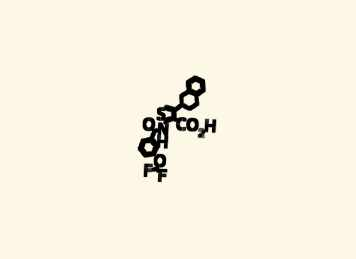 O=C(Nc1scc(C2CCc3ccccc3C2)c1C(=O)O)c1cccc(OC(F)F)c1